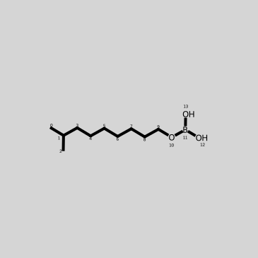 CC(C)CCCCCCCOB(O)O